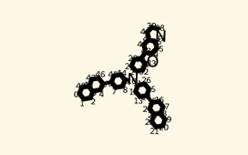 c1ccc2cc(-c3ccc(N(c4ccc(-c5ccc6ccccc6c5)cc4)c4ccc5c(c4)oc4cc6ncccc6cc45)cc3)ccc2c1